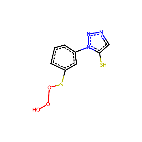 OOOSc1cccc(-n2nncc2S)c1